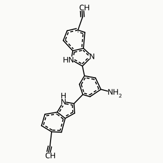 C#Cc1ccc2[nH]c(-c3cc(N)cc(-c4nc5cc(C#C)ccc5[nH]4)c3)cc2c1